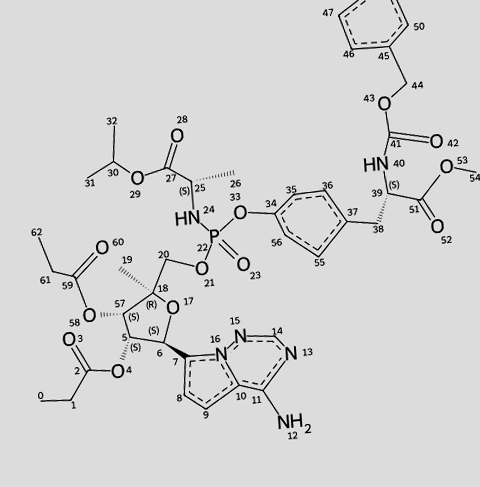 CCC(=O)O[C@H]1[C@H](c2ccc3c(N)ncnn23)O[C@](C)(COP(=O)(N[C@@H](C)C(=O)OC(C)C)Oc2ccc(C[C@H](NC(=O)OCc3ccccc3)C(=O)OC)cc2)[C@H]1OC(=O)CC